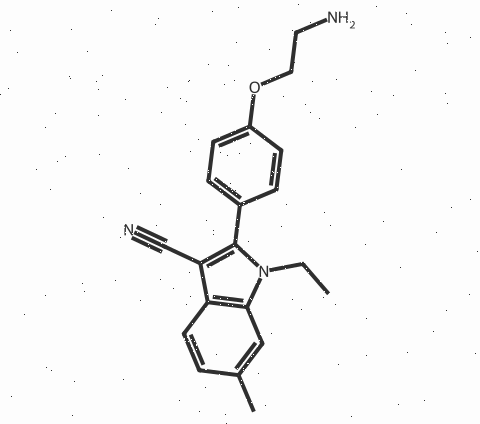 CCn1c(-c2ccc(OCCN)cc2)c(C#N)c2ccc(C)cc21